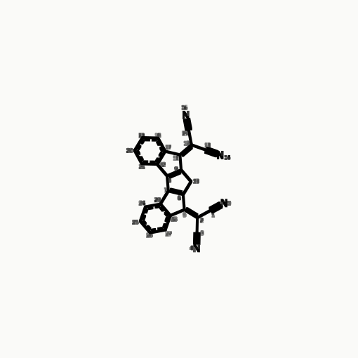 N#CC(C#N)=C1C2=C(C3=C(C2)C(=C(C#N)C#N)c2ccccc23)c2ccccc21